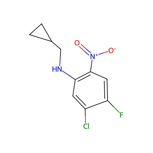 O=[N+]([O-])c1cc(F)c(Cl)cc1NCC1CC1